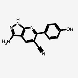 N#Cc1cc2c(N)n[nH]c2nc1-c1ccc(O)cc1